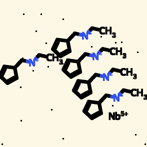 CC[N-]CC1C=CC=C1.CC[N-]CC1C=CC=C1.CC[N-]CC1C=CC=C1.CC[N-]CC1C=CC=C1.CC[N-]CC1C=CC=C1.[Nb+5]